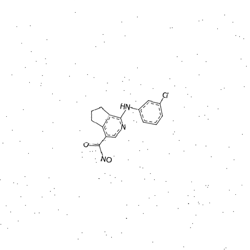 O=NC(=O)c1cnc(Nc2cccc(Cl)c2)c2c1CCC2